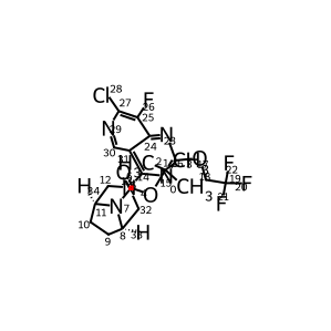 CC(C)(C)OC(=O)N1[C@@H]2CC[C@H]1CN(c1nc(OCC(F)(F)F)nc3c(F)c(Cl)ncc13)C2